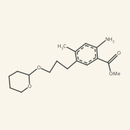 COC(=O)c1cc(CCCOC2CCCCO2)c(C)cc1N